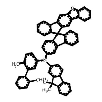 Cc1ccccc1-c1cc(N(c2ccc3c(c2)-c2ccccc2C32c3ccccc3-c3cc4oc5ccccc5c4cc32)c2ccc3c(c2)C(C)(C)c2ccccc2-3)ccc1C